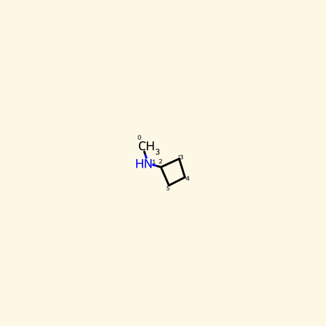 CNC1[CH]CC1